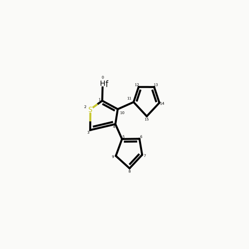 [Hf][c]1scc(C2=CC=CC2)c1C1=CC=CC1